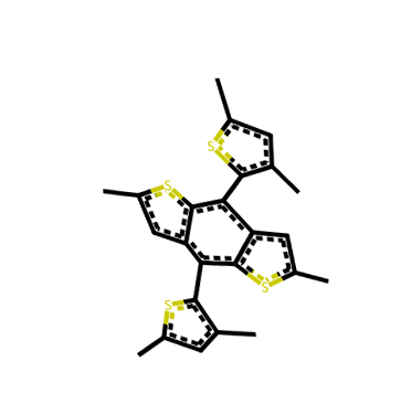 Cc1cc(C)c(-c2c3cc(C)sc3c(-c3sc(C)cc3C)c3cc(C)sc23)s1